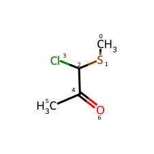 CSC(Cl)C(C)=O